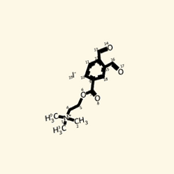 C[N+](C)(C)CCOC(=O)c1ccc(C=O)c(C=O)c1.[I-]